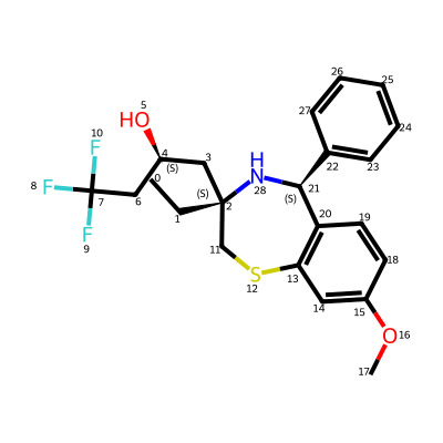 CC[C@]1(C[C@H](O)CC(F)(F)F)CSc2cc(OC)ccc2[C@H](c2ccccc2)N1